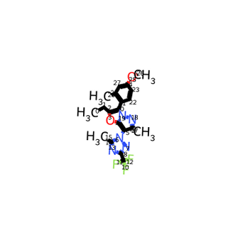 CCc1oc2c(-n3nc(C(F)(F)F)nc3C)c(C)nn2c1-c1ccc(OC)cc1C